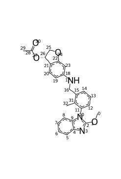 COc1nc2ccccc2n1-c1cccc(CNc2ccc3c(c2)OC[C@H]3OC(C)=O)c1C